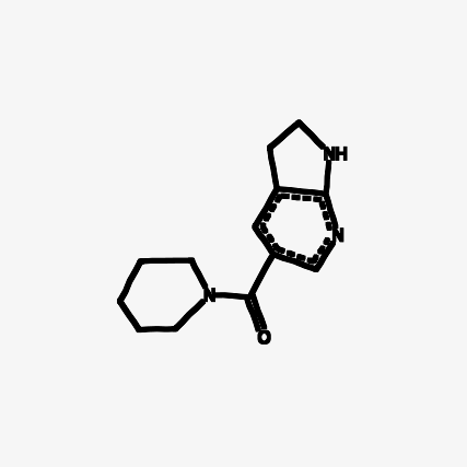 O=C(c1cnc2c(c1)CCN2)N1CCCCC1